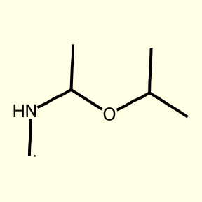 [CH2]NC(C)OC(C)C